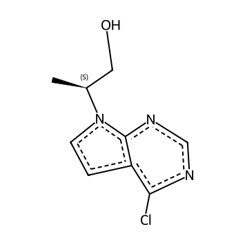 C[C@@H](CO)n1ccc2c(Cl)ncnc21